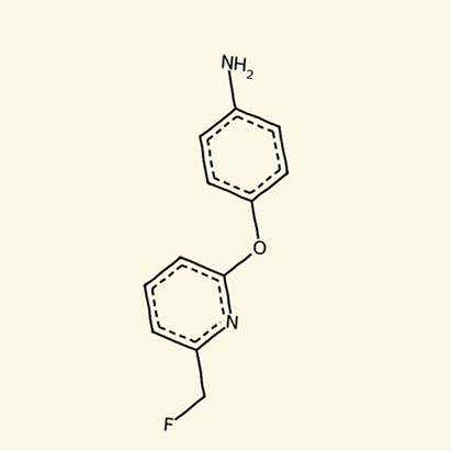 Nc1ccc(Oc2cccc(CF)n2)cc1